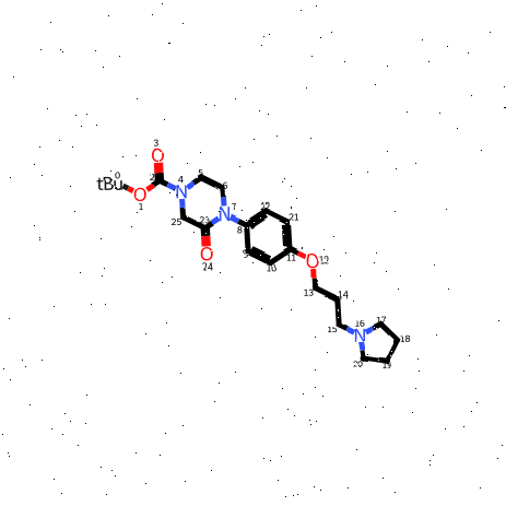 CC(C)(C)OC(=O)N1CCN(c2ccc(OCCCN3CCCC3)cc2)C(=O)C1